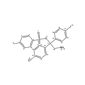 Cc1ccc(S(=O)(=O)OC(CN)(c2ccc(Cl)cc2)c2ccc(I)cc2)cc1